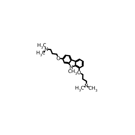 CN(C)CCCOc1ccc2c3cccc(OCCCN(C)C)c3n(C)c2c1